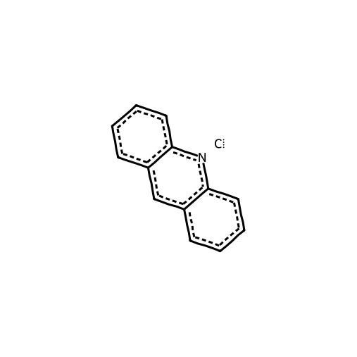 [C].c1ccc2nc3ccccc3cc2c1